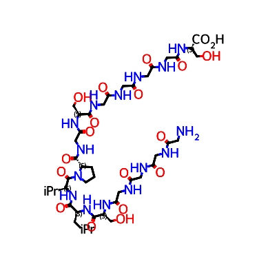 CC(C)C[C@H](NC(=O)[C@H](CO)NC(=O)CNC(=O)CNC(=O)CNC(=O)CN)C(=O)N[C@H](C(=O)N1CCC[C@H]1C(=O)NCC(=O)N[C@@H](CO)C(=O)NCC(=O)NCC(=O)NCC(=O)NCC(=O)N[C@@H](CO)C(=O)O)C(C)C